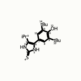 CC(C)c1[nH]c(=S)[nH]c1-c1cc(C(C)(C)C)c(O)c(C(C)(C)C)c1